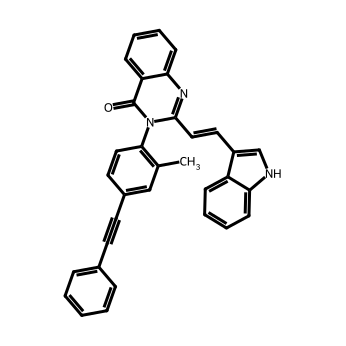 Cc1cc(C#Cc2ccccc2)ccc1-n1c(/C=C/c2c[nH]c3ccccc23)nc2ccccc2c1=O